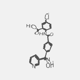 O=C(Nc1ccc(Cl)cc1C(=O)O)c1ccc(C(=NO)c2cccnc2)cc1